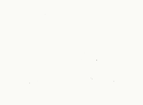 CC(=O)c1ccc[n+]([C@@H]2O[C@H](COP(=O)(OCCSC(=O)C(C)(C)C)OCCSC(=O)C(C)(C)C)C(O)[C@@H]2O)c1